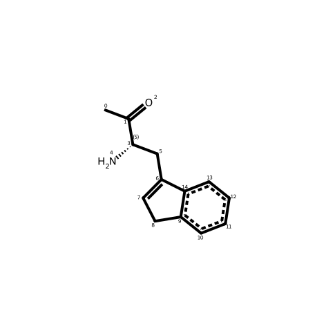 CC(=O)[C@@H](N)CC1=CCc2ccccc21